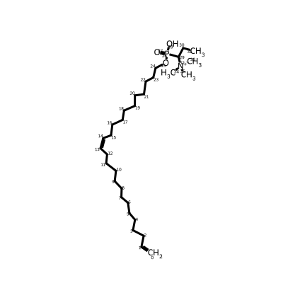 C=CCCCCCCCCCCC/C=C\CCCCCCCCCCOP(=O)(O)C(CC)[N+](C)(C)C